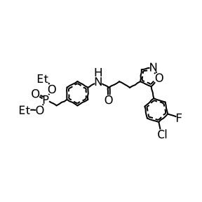 CCOP(=O)(Cc1ccc(NC(=O)CCc2cnoc2-c2ccc(Cl)c(F)c2)cc1)OCC